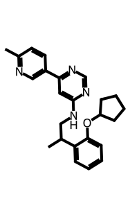 Cc1ccc(-c2cc(NCC(C)c3ccccc3OC3CCCC3)ncn2)cn1